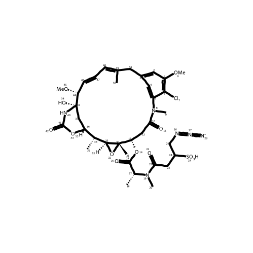 COc1cc2cc(c1Cl)N(C)C(=O)C[C@H](OC(=O)[C@@H](C)N(C)C(=O)CC(CN=[N+]=[N-])S(=O)(=O)O)[C@]1(C)O[C@H]1[C@H](C)[C@@H]1C[C@@](O)(NC(=O)O1)[C@H](OC)/C=C/C=C(\C)C2